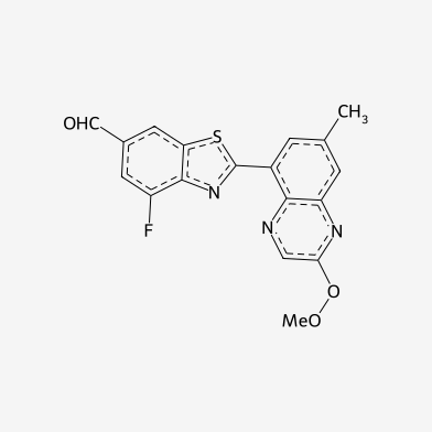 COOc1cnc2c(-c3nc4c(F)cc(C=O)cc4s3)cc(C)cc2n1